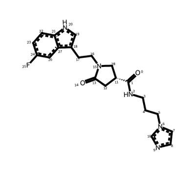 O=C(NCCCn1ccnc1)[C@@H]1CC(=O)N(CCc2c[nH]c3ccc(F)cc23)C1